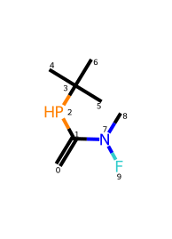 C=C(PC(C)(C)C)N(C)F